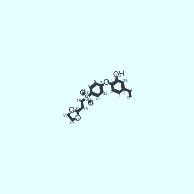 CCc1ccc(Oc2ccc(S(=O)(=O)CCC3OCCO3)cc2)c(O)c1